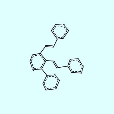 C(=C\c1ccnc(-c2ccccn2)c1/C=C/c1ccncc1)/c1ccncc1